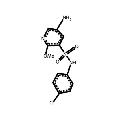 COc1ncc(N)cc1S(=O)(=O)Nc1ccc(Cl)cc1